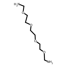 NCOCCOCCOCCOCN